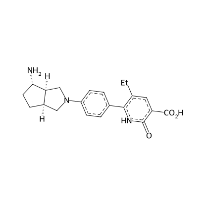 CCc1cc(C(=O)O)c(=O)[nH]c1-c1ccc(N2C[C@H]3CC[C@H](N)[C@H]3C2)cc1